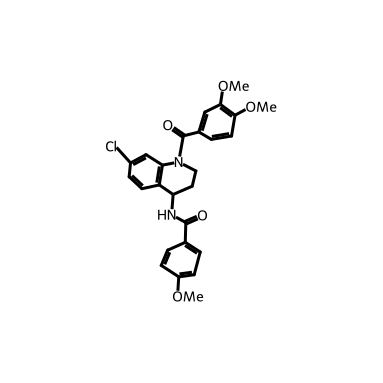 COc1ccc(C(=O)NC2CCN(C(=O)c3ccc(OC)c(OC)c3)c3cc(Cl)ccc32)cc1